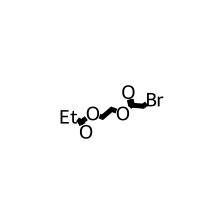 CCC(=O)OCCOC(=O)CBr